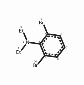 CCN(CC)c1c(Br)c[c]cc1Br